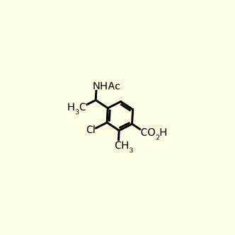 CC(=O)NC(C)c1ccc(C(=O)O)c(C)c1Cl